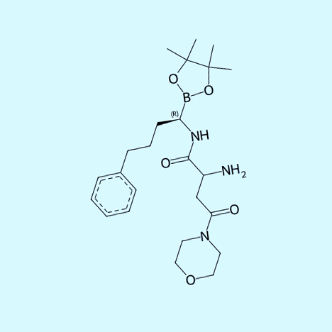 CC1(C)OB([C@H](CCCc2ccccc2)NC(=O)C(N)CC(=O)N2CCOCC2)OC1(C)C